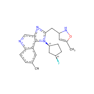 CC1=CC(Cc2nc3cnc4ccc(C#N)cc4c3n2[C@H]2CC[C@@H](F)C2)NO1